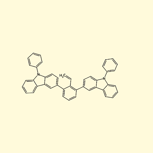 C=Cc1c(-c2ccc3c(c2)c2ccccc2n3-c2ccccc2)cccc1-c1ccc2c(c1)c1ccccc1n2-c1ccccc1